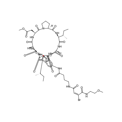 CC[C@H](C)[C@@H]1NC(=O)CNC(=O)[C@@H]2Cc3c([nH]c4ccc(NC(=O)CCCNC(=O)/C=C(/Br)C(=O)NCCOC)cc34)SC[C@H](NC(=O)CNC1=O)C(=O)N[C@@H](CC(=O)OC)C(=O)N1CCC[C@H]1C(=O)N[C@@H]([C@@H](C)CC)C(=O)N2